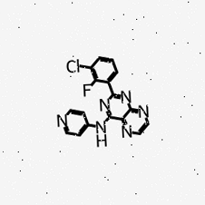 Fc1c(Cl)cccc1-c1nc(Nc2ccncc2)c2nccnc2n1